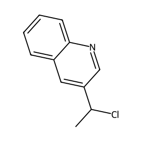 CC(Cl)c1cnc2ccccc2c1